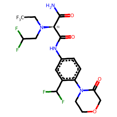 NC(=O)[C@@H](C(=O)Nc1ccc(N2CCOCC2=O)c(C(F)F)c1)N(CC(F)F)CC(F)(F)F